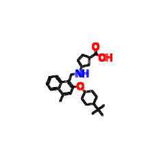 Cc1cc(OC2CCC(C(C)(C)C)CC2)c(CNC2CCC(C(=O)O)C2)c2ccccc12